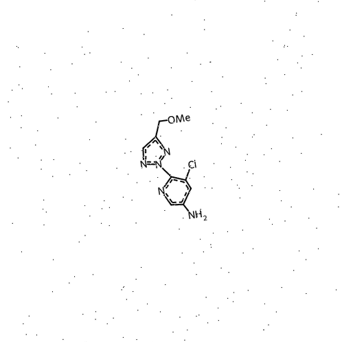 COCc1cnn(-c2ncc(N)cc2Cl)n1